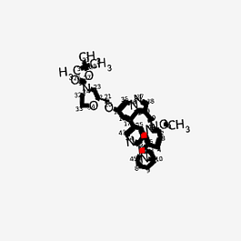 COc1ccc(CN2C3CC2CN(c2ccc(-c4cc(OC[C@@H]5CN(C(=O)OC(C)(C)C)CCO5)cn5ncc(C#N)c45)cn2)C3)cn1